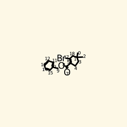 CC1(C)CCC(C(=O)OCc2ccccc2)=C(Br)C1